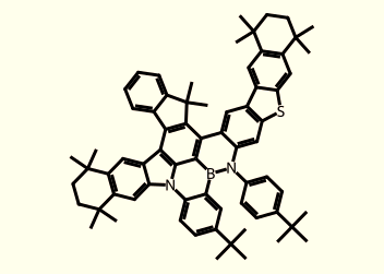 CC(C)(C)c1ccc(N2B3c4cc(C(C)(C)C)ccc4-n4c5cc6c(cc5c5c7c(c(c3c54)-c3cc4c(cc32)sc2cc3c(cc24)C(C)(C)CCC3(C)C)C(C)(C)c2ccccc2-7)C(C)(C)CCC6(C)C)cc1